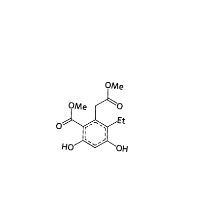 CCc1c(O)cc(O)c(C(=O)OC)c1CC(=O)OC